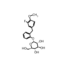 COc1ccc(Cc2ccccc2O[C@H]2O[C@H](CO)[C@@H](O)[C@H](O)[C@H]2O)cc1F